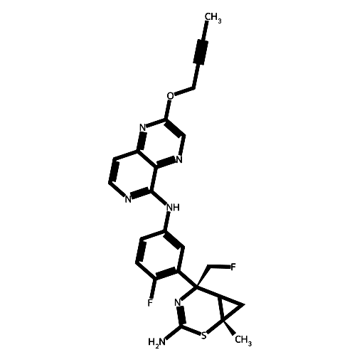 CC#CCOc1cnc2c(Nc3ccc(F)c([C@@]4(CF)N=C(N)S[C@@]5(C)CC54)c3)nccc2n1